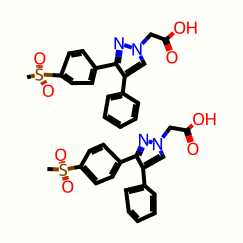 CS(=O)(=O)c1ccc(-c2nn(CC(=O)O)cc2-c2ccccc2)cc1.CS(=O)(=O)c1ccc(-c2nn(CC(=O)O)cc2-c2ccccc2)cc1